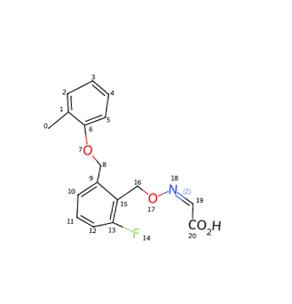 Cc1ccccc1OCc1cccc(F)c1CO/N=C\C(=O)O